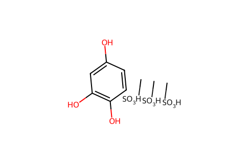 CS(=O)(=O)O.CS(=O)(=O)O.CS(=O)(=O)O.Oc1ccc(O)c(O)c1